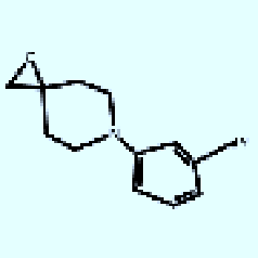 CC(C)c1cccc(N2CCC3(CC2)CO3)c1